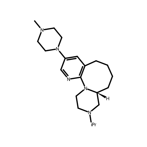 CC(C)N1CCN2c3ncc(N4CCN(C)CC4)cc3CCCC[C@@H]2C1